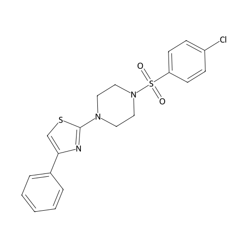 O=S(=O)(c1ccc(Cl)cc1)N1CCN(c2nc(-c3ccccc3)cs2)CC1